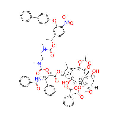 CC(=O)O[C@H]1C(=O)[C@@]2(C)[C@H]([C@H](OC(=O)c3ccccc3)[C@]3(O)C[C@H](OC(=O)[C@H](OC(=O)N(C)CCN(C)C(=O)OC(C)c4ccc([N+](=O)[O-])c(Oc5ccc(-c6ccccc6)cc5)c4)[C@@H](NC(=O)c4ccccc4)c4ccccc4)C(C)=C1C3(C)C)[C@]1(OC(C)=O)CO[C@@H]1C[C@@H]2O